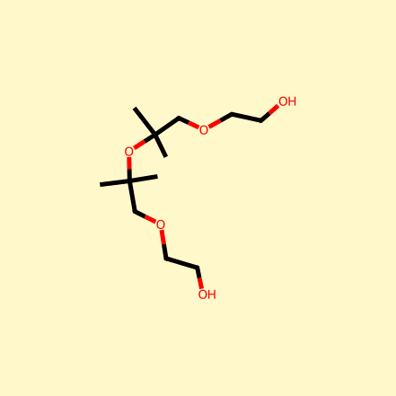 CC(C)(COCCO)OC(C)(C)COCCO